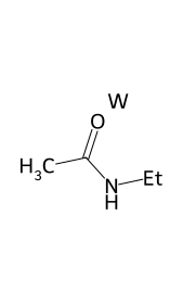 CCNC(C)=O.[W]